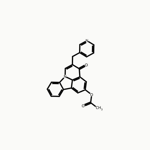 CC(=O)Oc1cc2c(=O)c(Cc3cccnc3)cn3c4ccccc4c(c1)c23